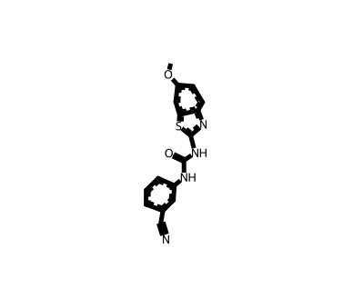 COc1ccc2nc(NC(=O)Nc3cccc(C#N)c3)sc2c1